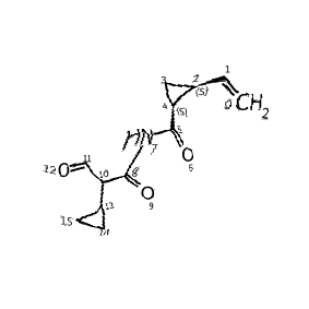 C=C[C@@H]1C[C@@H]1C(=O)NC(=O)C(C=O)C1CC1